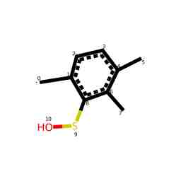 [CH2]c1ccc(C)c(C)c1SO